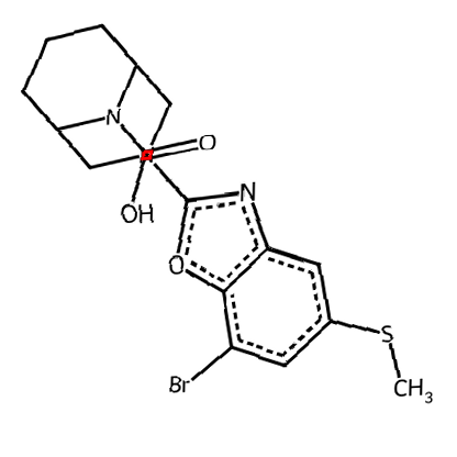 CSc1cc(Br)c2oc(N3CC4CCCC(C3)N4C(=O)O)nc2c1